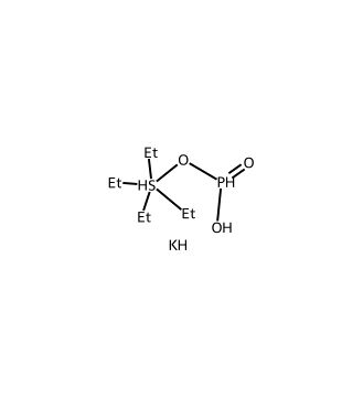 CC[SH](CC)(CC)(CC)O[PH](=O)O.[KH]